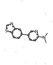 CN(C)c1ccc(-c2ccc3scnc3c2)cn1